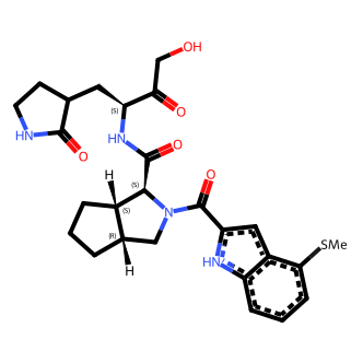 CSc1cccc2[nH]c(C(=O)N3C[C@@H]4CCC[C@@H]4[C@H]3C(=O)N[C@@H](CC3CCNC3=O)C(=O)CO)cc12